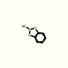 N#CN1Oc2ccccc2O1